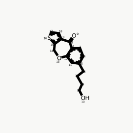 O=C1c2ccc(CCCCO)cc2OCc2sccc21